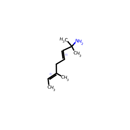 C/C=C(\C)C/C=C/C(C)(C)N